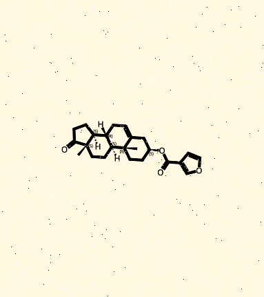 C[C@]12CC[C@H](OC(=O)c3ccoc3)CC1=CC[C@@H]1[C@@H]2CC[C@]2(C)C(=O)CC[C@@H]12